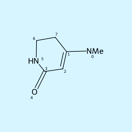 CNC1=CC(=O)NCC1